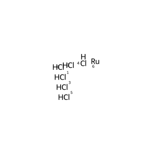 Cl.Cl.Cl.Cl.Cl.Cl.[Ru]